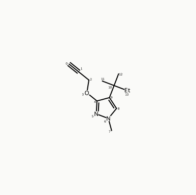 C#CCOc1nn(C)cc1C(C)(C)CC